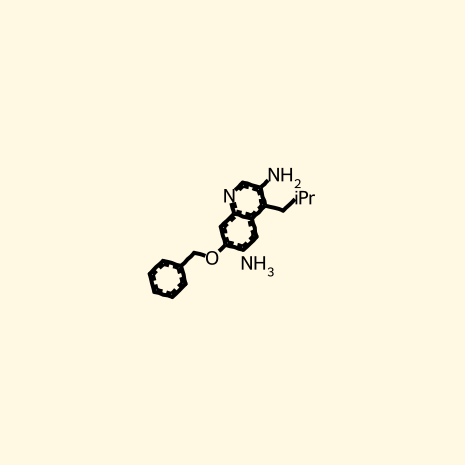 CC(C)Cc1c(N)cnc2cc(OCc3ccccc3)ccc12.N